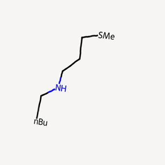 CCCCCNCCCSC